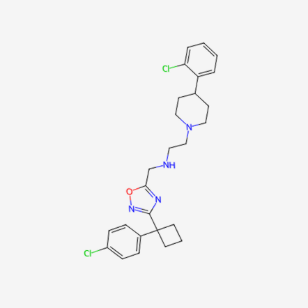 Clc1ccc(C2(c3noc(CNCCN4CCC(c5ccccc5Cl)CC4)n3)CCC2)cc1